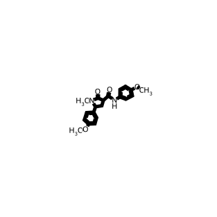 COc1ccc(NC(=O)C2CC(c3ccc(OC)cc3)N(C)C2=O)cc1